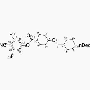 CCCCCCCCCCC1CCC(COC2CCC(C(=O)Oc3cc(F)c(C#N)c(F)c3)CC2)CC1